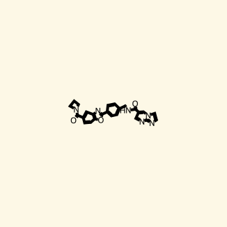 O=C(NCc1ccc(-c2nc3cc(C(=O)N4CCC4)ccc3o2)cc1)c1cnc2nccn2c1